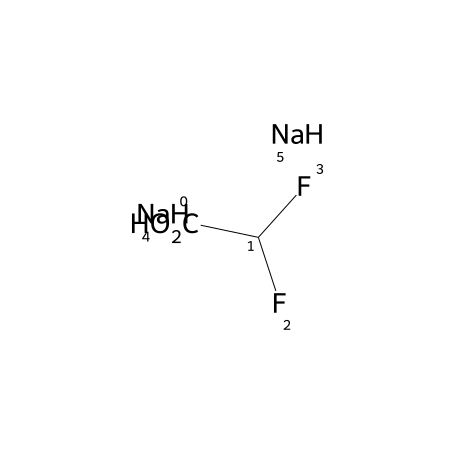 O=C(O)C(F)F.[NaH].[NaH]